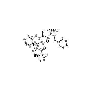 CC(=O)NC(CCc1ccccc1)C(=O)NC(Cc1ccncc1)C(=O)NC(CC(C)C)C(=O)C1(C)CO1